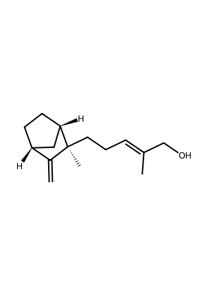 C=C1[C@@H]2CC[C@@H](C2)[C@@]1(C)CC/C=C(\C)CO